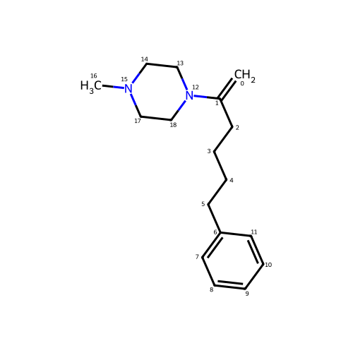 C=C(CCCCc1ccccc1)N1CCN(C)CC1